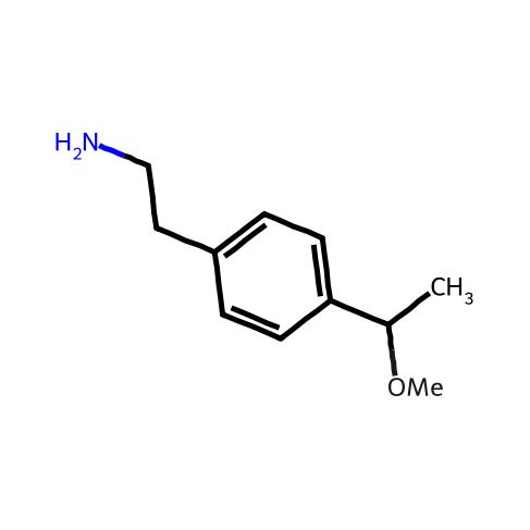 COC(C)c1ccc(CCN)cc1